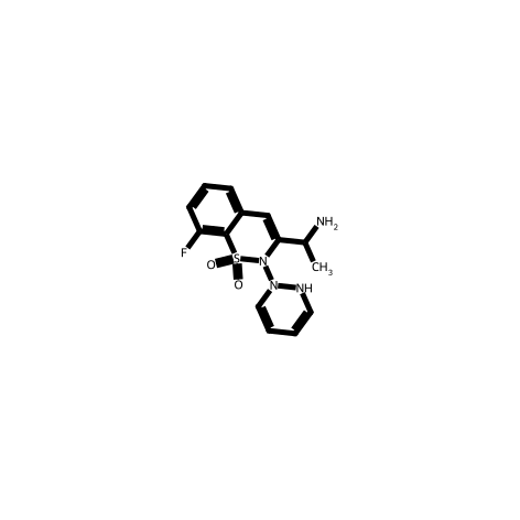 CC(N)C1=Cc2cccc(F)c2S(=O)(=O)N1N1C=CC=CN1